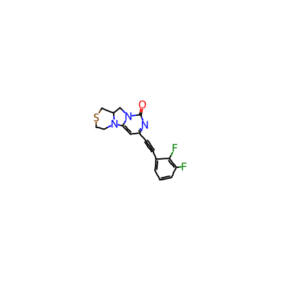 O=c1nc(C#Cc2cccc(F)c2F)cc2n1CC1CSCCN21